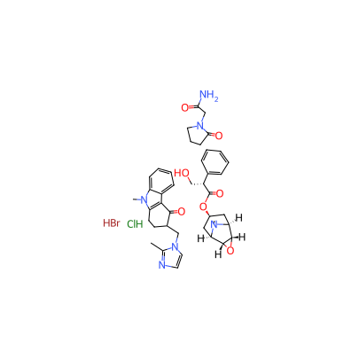 Br.CN1[C@@H]2C[C@@H](OC(=O)[C@H](CO)c3ccccc3)C[C@H]1[C@@H]1O[C@@H]12.Cc1nccn1CC1CCc2c(c3ccccc3n2C)C1=O.Cl.NC(=O)CN1CCCC1=O